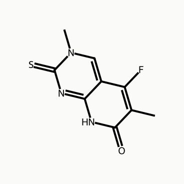 Cc1c(F)c2cn(C)c(=S)nc2[nH]c1=O